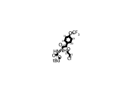 CC(C)(C)OC(=O)NNC(=O)C(OCCCl)c1ccc(OC(F)(F)F)cc1